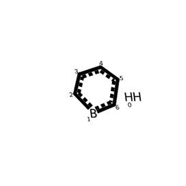 [HH].b1ccccc1